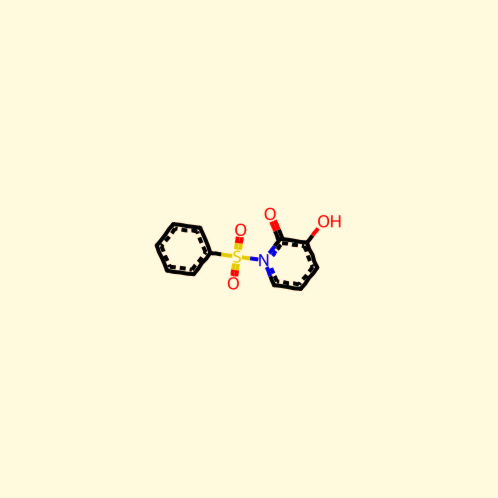 O=c1c(O)cccn1S(=O)(=O)c1ccccc1